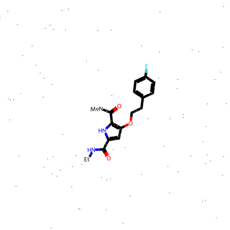 CCNC(=O)c1cc(OCCc2ccc(F)cc2)c(C(=O)NC)[nH]1